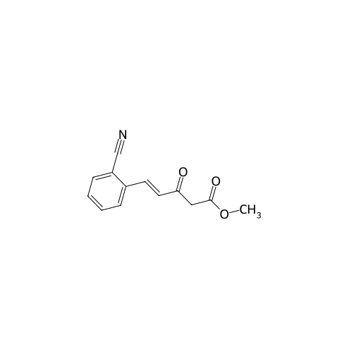 COC(=O)CC(=O)C=Cc1ccccc1C#N